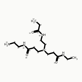 CCNC(=O)CCN(CCNC(=O)CC)CCC(=O)NCCN